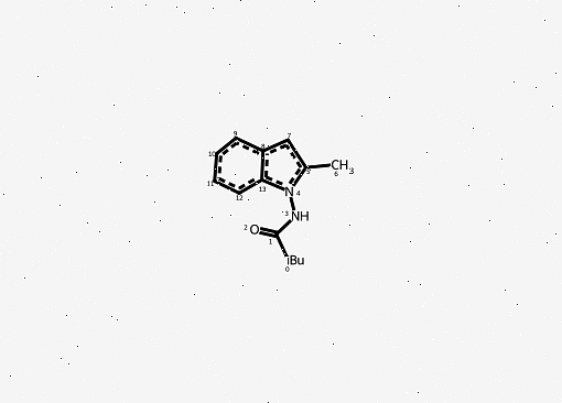 CCC(C)C(=O)Nn1c(C)cc2ccccc21